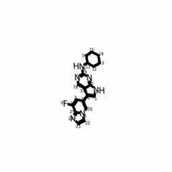 Fc1cc(-c2c[nH]c3nc(NC4CCCCC4)ncc23)cn2ccnc12